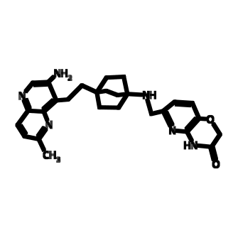 Cc1ccc2ncc(N)c(CCC34CCC(NCc5ccc6c(n5)NC(=O)CO6)(CC3)CC4)c2n1